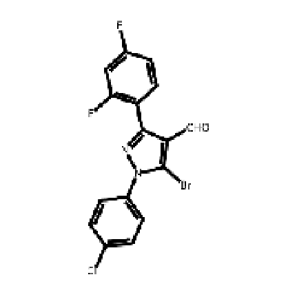 O=Cc1c(-c2ccc(F)cc2F)nn(-c2ccc(Cl)cc2)c1Br